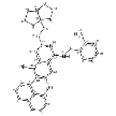 CCc1cccc2cccc(-c3ncc4c(NCc5cccnc5N)nc(OCC56CCCN5CCC6)nc4c3F)c12